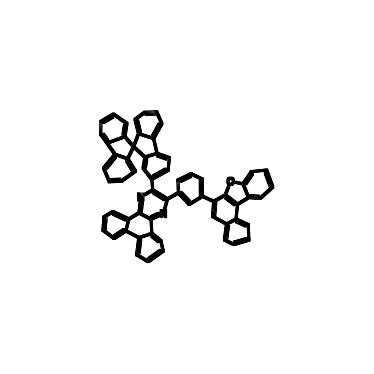 c1cc(-c2nc3c4ccccc4c4ccccc4c3nc2-c2ccc3c(c2)C2(c4ccccc4-c4ccccc42)c2ccccc2-3)cc(-c2cc3ccccc3c3c2oc2ccccc23)c1